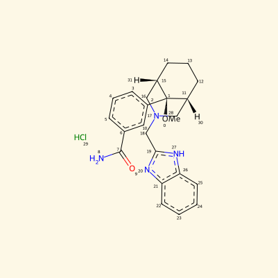 CO[C@]1(c2cccc(C(N)=O)c2)[C@@H]2CCC[C@H]1CN(Cc1nc3ccccc3[nH]1)C2.Cl